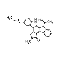 CCOCc1ccc2[nH]c3c4c(c5c(c3c2c1)CN(C)C5=O)-c1ccccc1C4C(C)O